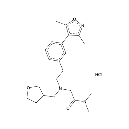 Cc1noc(C)c1-c1cccc(CCN(CC(=O)N(C)C)CC2CCOC2)c1.Cl